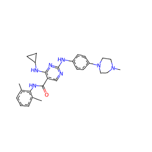 Cc1cccc(C)c1NC(=O)c1cnc(Nc2ccc(N3CCN(C)CC3)cc2)nc1NC1CC1